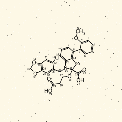 COc1ccccc1-c1cccc2c1CC(OCCC(=O)O)(C(=O)O)N2Cc1cc2c(cc1Cl)OCO2